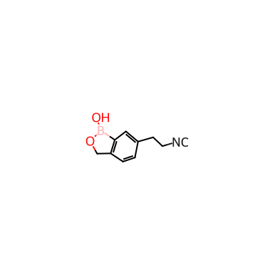 [C-]#[N+]CCc1ccc2c(c1)B(O)OC2